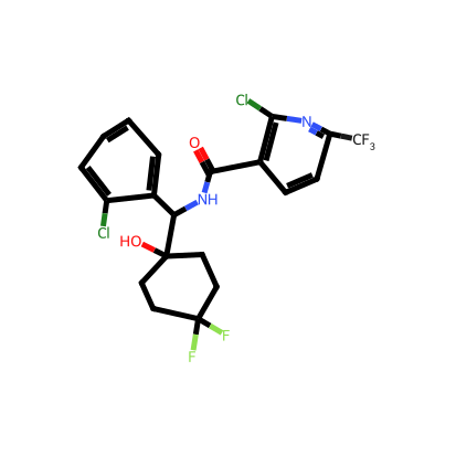 O=C(NC(c1ccccc1Cl)C1(O)CCC(F)(F)CC1)c1ccc(C(F)(F)F)nc1Cl